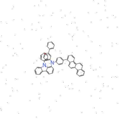 c1ccc(-c2cccc(N(c3ccc(-c4cccc5c4ccc4c6ccccc6ccc54)cc3)c3cccc4c5ccccc5n(-c5ccccc5)c34)c2)cc1